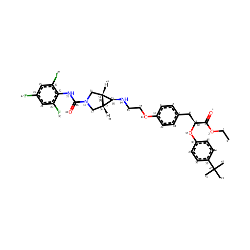 CCOC(=O)[C@H](Cc1ccc(OCCN[C@H]2[C@@H]3CN(C(=O)Nc4c(F)cc(F)cc4F)C[C@@H]32)cc1)Oc1ccc(C(C)(C)C)cc1